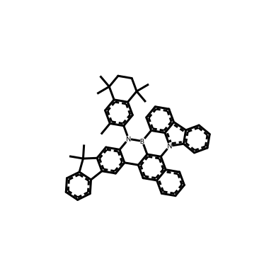 Cc1cc2c(cc1N1B3c4c(cc5ccccc5c4-n4c5ccccc5c5cccc3c54)-c3cc4c(cc31)C(C)(C)c1ccccc1-4)C(C)(C)CCC2(C)C